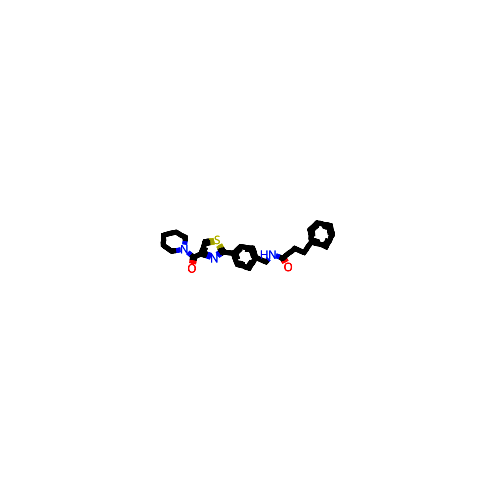 O=C(CCc1ccccc1)NCc1ccc(-c2nc(C(=O)N3CCCCC3)cs2)cc1